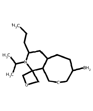 BC1CCCC2C(CC1)CC(CCC)N(C(C)C)C21COC1